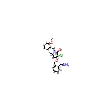 COc1ccccc1Cn1c(C)cc(OCc2ccccc2CN)c(Cl)c1=O